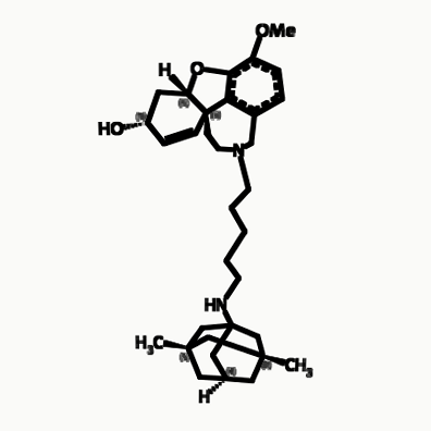 COc1ccc2c3c1O[C@H]1C[C@@H](O)C=C[C@@]31CCN(CCCCCNC13C[C@H]4C[C@@](C)(C1)C[C@](C)(C4)C3)C2